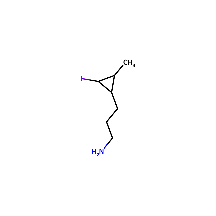 CC1C(I)C1CCCN